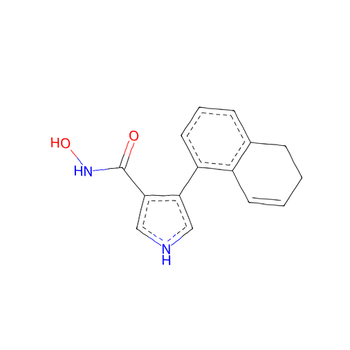 O=C(NO)c1c[nH]cc1-c1cccc2c1C=CCC2